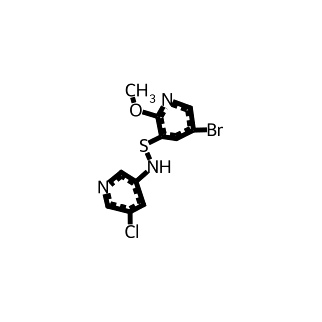 COc1ncc(Br)cc1SNc1cncc(Cl)c1